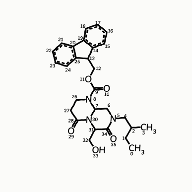 CCC(C)CN1CC2N(C(=O)OCC3c4ccccc4-c4ccccc43)CCC(=O)N2C(CO)C1=O